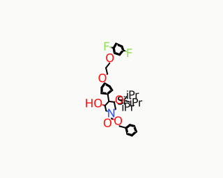 CC(C)[Si](OC1CN(C(=O)OCc2ccccc2)CC(O)C1c1ccc(OCCCOc2cc(F)ccc2F)cc1)(C(C)C)C(C)C